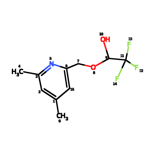 Cc1cc(C)nc(COC(O)C(F)(F)F)c1